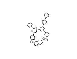 CC1C=Cc2ccc3oc4ccc(-c5cc(-c6cc(-c7ccccc7)cc(-c7ccc(-c8ccccc8)cc7)c6)nc(-c6ccccc6)n5)cc4c3c2C1